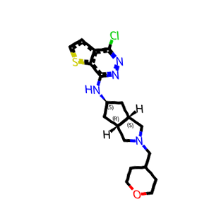 Clc1nnc(N[C@H]2C[C@@H]3CN(CC4CCOCC4)C[C@@H]3C2)c2sccc12